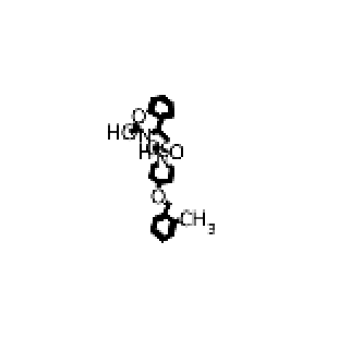 Cc1ccccc1COC1CCN(S(=O)(=O)CC(NC(=O)O)c2ccccc2)CC1